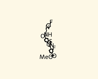 COC(=O)c1ccc(-c2cn3c(n2)sc2cc(C(=O)NCCCN4CCC(F)CC4)ccc23)c(F)c1